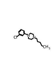 CCCCCN1CCN(c2cccc(Cl)c2)CC1